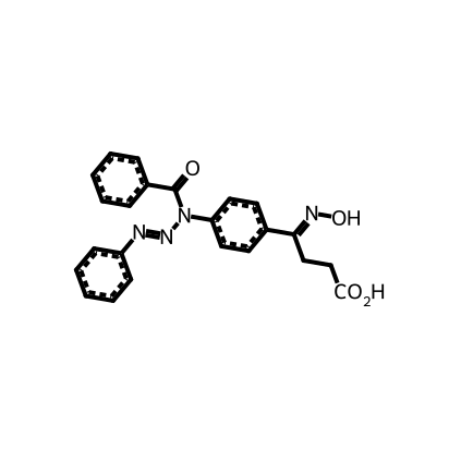 O=C(O)CCC(=NO)c1ccc(N(N=Nc2ccccc2)C(=O)c2ccccc2)cc1